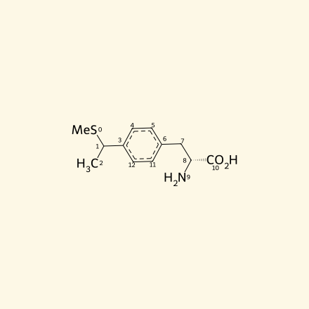 CSC(C)c1ccc(C[C@@H](N)C(=O)O)cc1